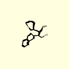 CNC(c1cccnc1)C(CO)c1ccc2ccccc2c1